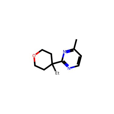 CCC1(c2nccc(C)n2)CCOCC1